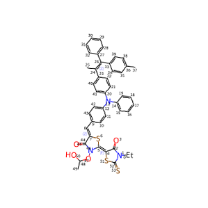 CCN1C(=O)/C(=c2\s/c(=C\c3ccc(N(c4ccccc4)c4ccc(/C(C)=C(/c5ccccc5)c5ccc(C)cc5)cc4)cc3)c(=O)n2OC(C)O)SC1=S